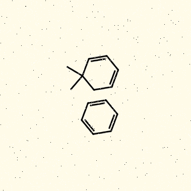 CC1(C)C=CC=CC1.c1ccccc1